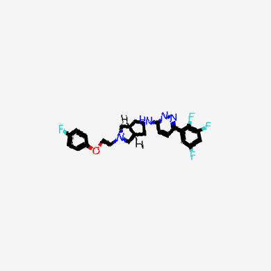 Fc1ccc(OCCN2C[C@H]3C[C@H](Nc4ccc(-c5cc(F)cc(F)c5F)nn4)C[C@H]3C2)cc1